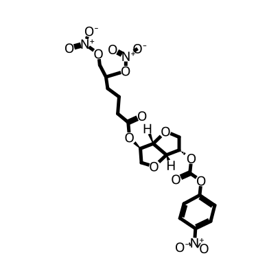 O=C(CCCC(CO[N+](=O)[O-])O[N+](=O)[O-])O[C@@H]1CO[C@@H]2[C@H]1OC[C@@H]2OC(=O)Oc1ccc([N+](=O)[O-])cc1